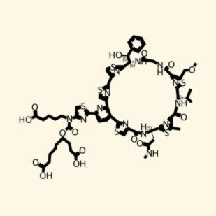 CNC(=O)C[C@@H]1NC(=O)c2csc(n2)-c2ccc(-c3nc(N(CCCCC(=O)O)C(=O)OC(CCCCC(=O)O)CCC(=O)O)cs3)nc2-c2csc(n2)-c2csc(n2)[C@H]([C@@H](O)c2ccccc2)NC(=O)CNC(=O)c2nc(sc2COC)[C@H](C(C)C)NC(=O)c2nc1sc2C